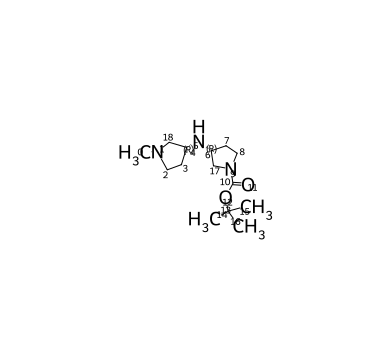 CN1CC[C@@H](N[C@@H]2CCN(C(=O)OC(C)(C)C)C2)C1